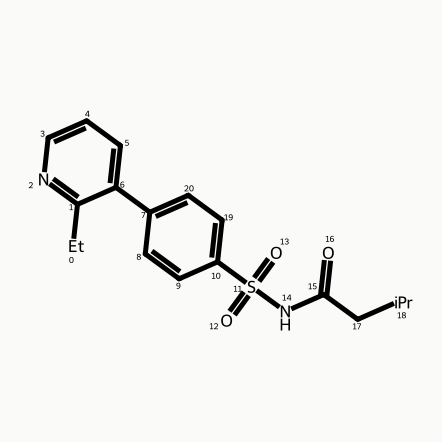 CCc1ncccc1-c1ccc(S(=O)(=O)NC(=O)CC(C)C)cc1